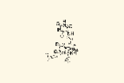 O=C1NC(=O)C(NCCCCS(=O)(=O)N[C@@H](c2ccc(F)c(OCC3CC3)c2)C2CC2)C(=O)N1